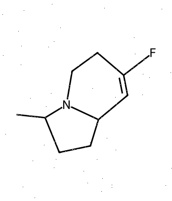 CC1CCC2C=C(F)CCN12